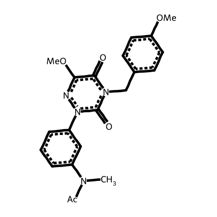 COc1ccc(Cn2c(=O)c(OC)nn(-c3cccc(N(C)C(C)=O)c3)c2=O)cc1